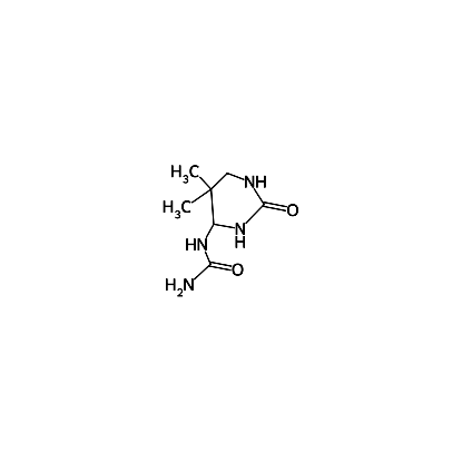 CC1(C)CNC(=O)NC1NC(N)=O